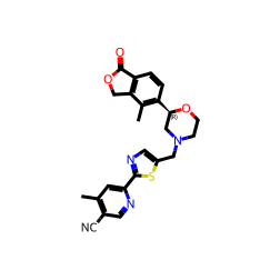 Cc1cc(-c2ncc(CN3CCO[C@H](c4ccc5c(c4C)COC5=O)C3)s2)ncc1C#N